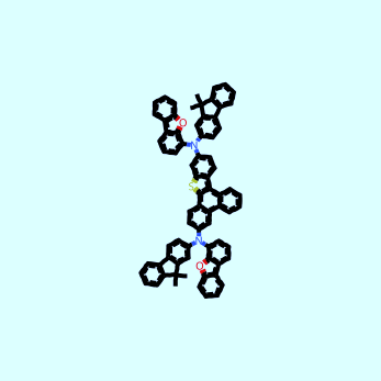 CC1(C)c2ccccc2-c2ccc(N(c3ccc4c(c3)sc3c5ccc(N(c6ccc7c(c6)C(C)(C)c6ccccc6-7)c6cccc7c6oc6ccccc67)cc5c5ccccc5c43)c3cccc4c3oc3ccccc34)cc21